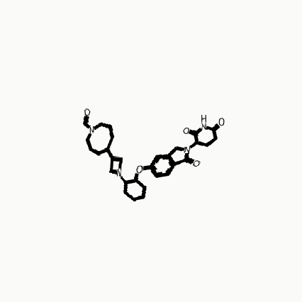 O=CN1CCCC(C2CN(C3CCCCC3Oc3ccc4c(c3)CN(C3CCC(=O)NC3=O)C4=O)C2)CCC1